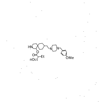 CCCCCCCCC(CC)C(=O)OC1CNCCC12CCC(CCN1CCN(Cc3ccc(OC)cc3)CC1)CC2